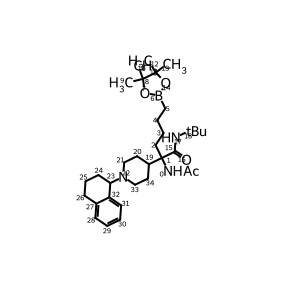 CC(=O)NC(CCCCB1OC(C)(C)C(C)(C)O1)(C(=O)NC(C)(C)C)C1CCN(C2CCCc3ccccc32)CC1